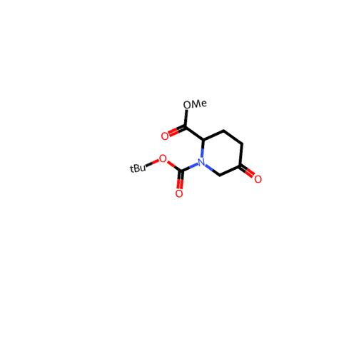 COC(=O)C1CCC(=O)CN1C(=O)OC(C)(C)C